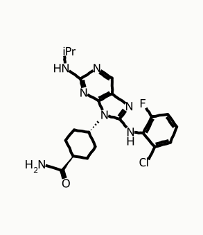 CC(C)Nc1ncc2nc(Nc3c(F)cccc3Cl)n([C@H]3CC[C@H](C(N)=O)CC3)c2n1